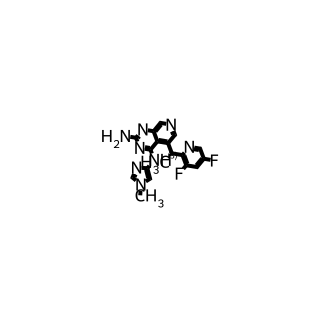 C[C@H](c1ncc(F)cc1F)c1cncc2nc(N)nc(Nc3cn(C)cn3)c12